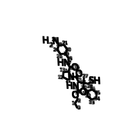 CCCOC(=O)NC(C(=O)N1CCC[C@H]1C(=O)NCC1CCC(N)CC1)C(C)(CS)CC1CCCCC1